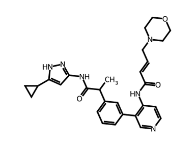 CC(C(=O)Nc1cc(C2CC2)[nH]n1)c1cccc(-c2cnccc2NC(=O)C=CCN2CCOCC2)c1